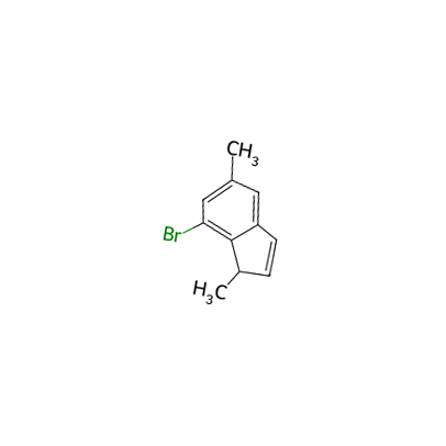 Cc1cc(Br)c2c(c1)C=CC2C